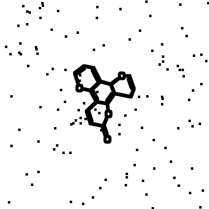 O=c1ccc2c(o1)=C1CC=COC1C1=CC=COC=21